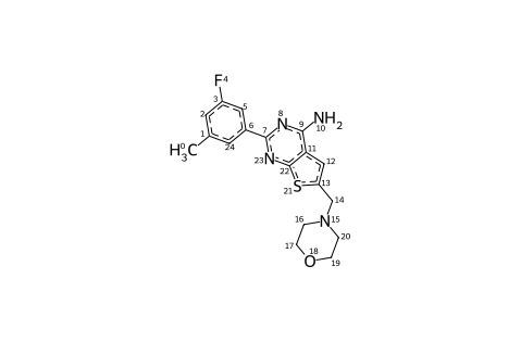 Cc1cc(F)cc(-c2nc(N)c3cc(CN4CCOCC4)sc3n2)c1